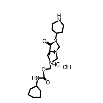 Cl.Cl.O=C(NC1CCCCC1)OCN1C=C2C(=O)N(C3CCNCC3)CN2C1